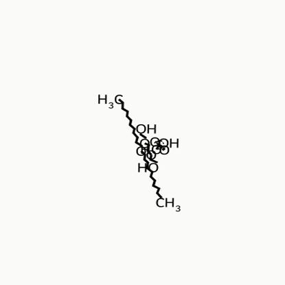 CCCCCCCCCCCCOCCCCCCCCCCCC.O=S(=O)(O)O.OCCOCCOCCO